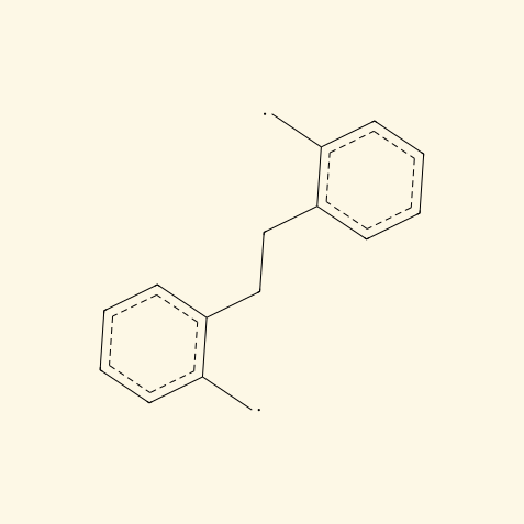 [CH2]c1ccccc1CCc1ccccc1[CH2]